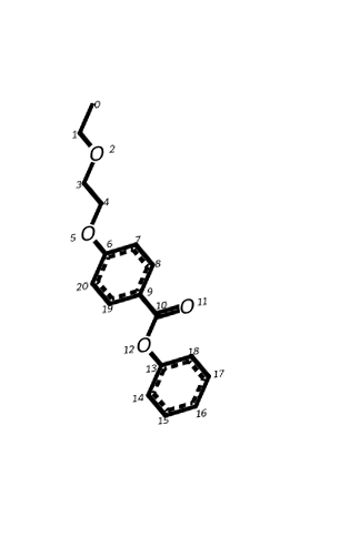 CCOCCOc1ccc(C(=O)Oc2ccccc2)cc1